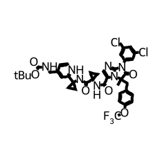 CC(C)(C)OC(=O)NCc1ccnc(C2(NC(=O)C3(NC(=O)c4cnc5n4C(C)(Cc4ccc(OC(F)(F)F)cc4)C(=O)N5c4cc(Cl)cc(Cl)c4)CC3)CC2)c1